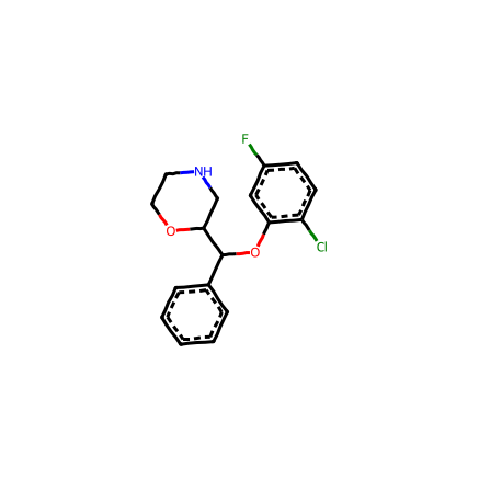 Fc1ccc(Cl)c(OC(c2ccccc2)C2CNCCO2)c1